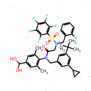 Cc1cc(C(O)O)cc(C)c1N(Cc1cc(C2CC2)cc(C(C)(C)C)c1)C(=O)CN(Cc1ccccc1F)S(=O)(=O)c1c(F)c(F)c(F)c(F)c1F